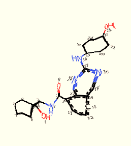 O=C(NCC1(O)CCCC1)c1cccc2cnc(NC3CCC(O)CC3)nc12